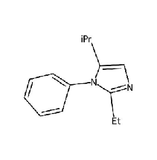 CCc1ncc(C(C)C)n1-c1ccccc1